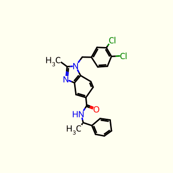 Cc1nc2cc(C(=O)N[C@H](C)c3ccccc3)ccc2n1Cc1ccc(Cl)c(Cl)c1